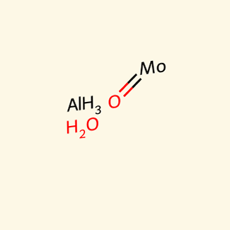 O.[AlH3].[O]=[Mo]